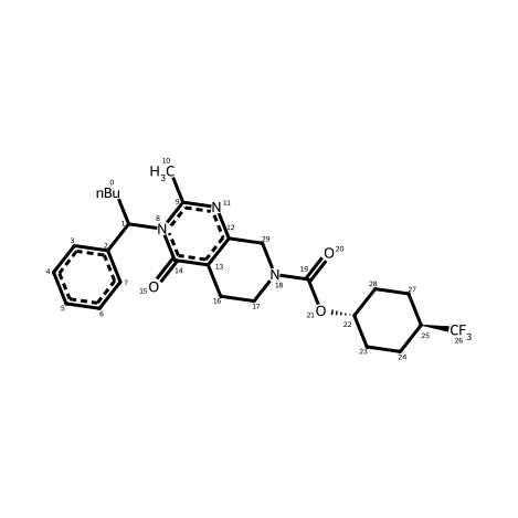 CCCCC(c1ccccc1)n1c(C)nc2c(c1=O)CCN(C(=O)O[C@H]1CC[C@H](C(F)(F)F)CC1)C2